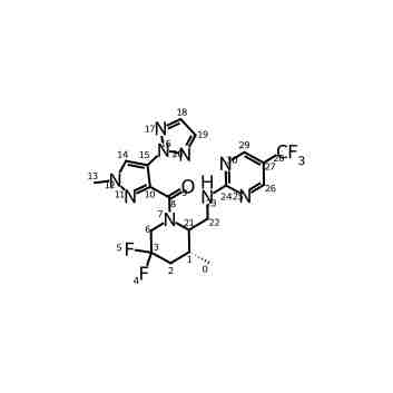 C[C@@H]1CC(F)(F)CN(C(=O)c2nn(C)cc2-n2nccn2)C1CNc1ncc(C(F)(F)F)cn1